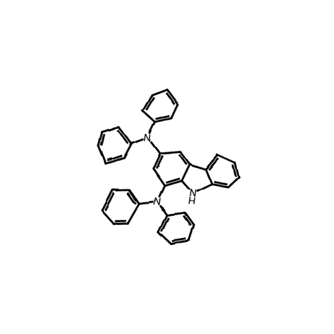 c1ccc(N(c2ccccc2)c2cc(N(c3ccccc3)c3ccccc3)c3[nH]c4ccccc4c3c2)cc1